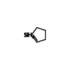 C1=CCCC1.[SiH4]